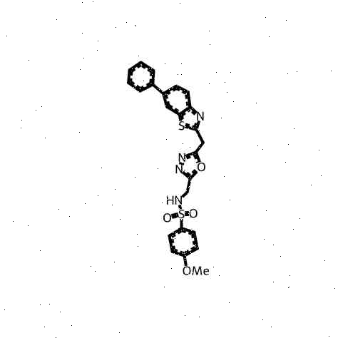 COc1ccc(S(=O)(=O)NCc2nnc(Cc3nc4ccc(-c5ccccc5)cc4s3)o2)cc1